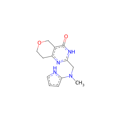 CN(Cc1nc2c(c(=O)[nH]1)COCC2)c1ccc[nH]1